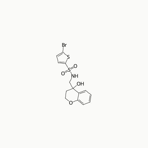 O=S(=O)(NCC1(O)CCOc2ccccc21)c1ccc(Br)s1